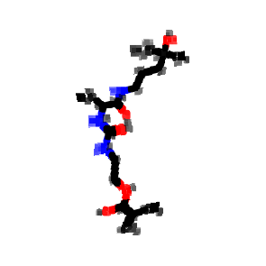 C=C(C)C(=O)OCCNC(=O)NC(C)C(=O)NCCC[Si](C)(C)O